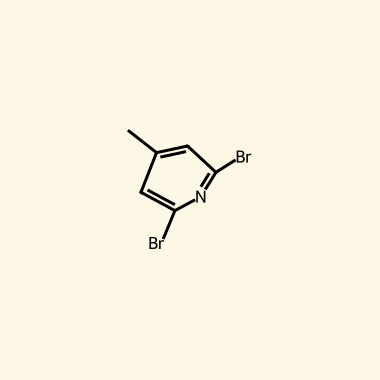 Cc1cc(Br)nc(Br)c1